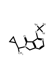 [2H]C([2H])([2H])Oc1nccc2c1C(=O)N(C(C)C1CC1)C2